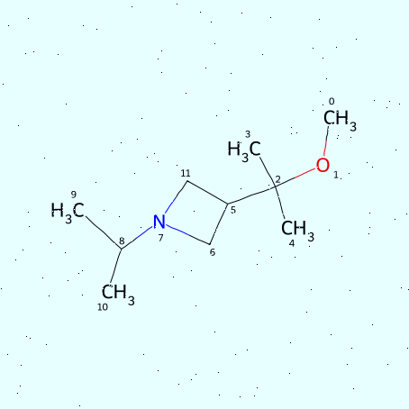 COC(C)(C)C1CN(C(C)C)C1